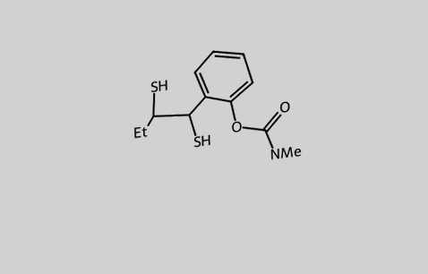 CCC(S)C(S)c1ccccc1OC(=O)NC